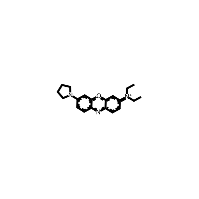 CC[N+](CC)=c1ccc2nc3ccc(N4CCCC4)cc3oc-2c1